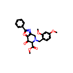 COC(=O)C1C(=O)c2oc(-c3ccccc3)nc2CN1Cc1ccc(OC)cc1OC